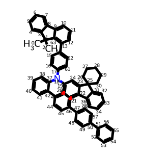 CC1(C)c2ccccc2-c2cccc(-c3ccc(N(c4ccc5c(c4)C4(CCCCC4)c4ccccc4-5)c4ccccc4-c4ccc(-c5ccc(-c6ccccc6)cc5)cc4)cc3)c21